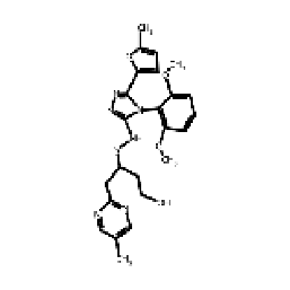 COc1cccc(OC)c1-n1c(NSC(CCO)Cc2ncc(C)cn2)nnc1-c1ccc(C)o1